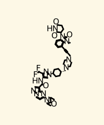 Cn1c(=O)n(C2CCC(=O)NC2=O)c2cccc(C#CCN3CCN(C[C@H]4CC[C@H](n5cc(NC(=O)c6cnn7ccc(N8C9COCC8C9)nc67)c(C(F)F)n5)CC4)CC3)c21